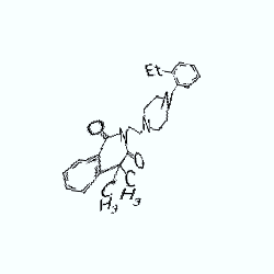 CCc1ccccc1N1CCN(CCN2C(=O)c3ccccc3C(C)(C)C2=O)CC1